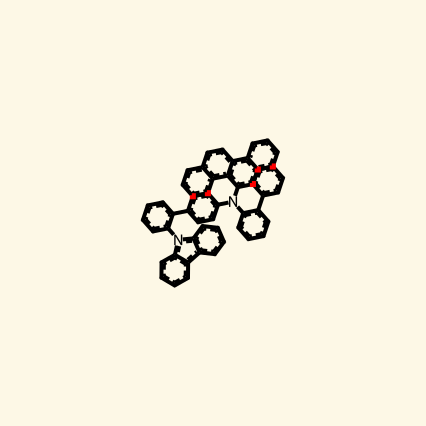 c1ccc(-c2ccccc2N(c2ccc(-c3ccccc3-n3c4ccccc4c4ccccc43)cc2)c2cc3ccccc3c3ccc4ccccc4c23)cc1